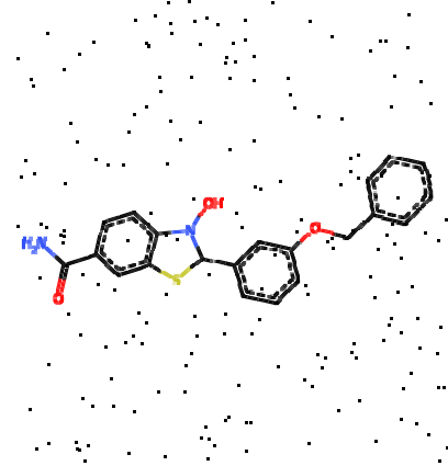 NC(=O)c1ccc2c(c1)SC(c1cccc(OCc3ccccc3)c1)N2O